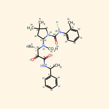 CCCC[C@@H](C(=O)C(=O)NC(C)c1ccccc1)N(C(=O)O)[C@H]1CC(C)(C)CN1C(=O)N(F)c1ccccc1C